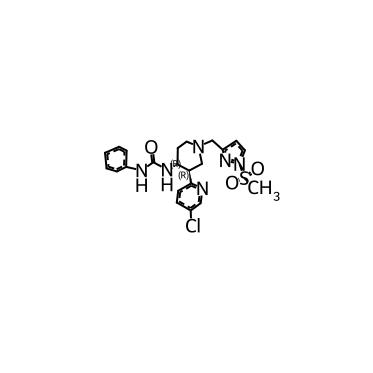 CS(=O)(=O)n1ccc(CN2CC[C@@H](NC(=O)Nc3ccccc3)[C@H](c3ccc(Cl)cn3)C2)n1